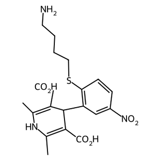 CC1=C(C(=O)O)C(c2cc([N+](=O)[O-])ccc2SCCCCN)C(C(=O)O)=C(C)N1